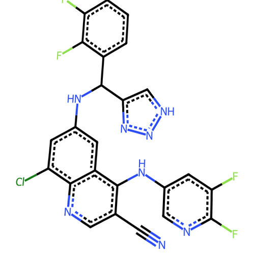 N#Cc1cnc2c(Cl)cc(NC(c3c[nH]nn3)c3cccc(F)c3F)cc2c1Nc1cnc(F)c(F)c1